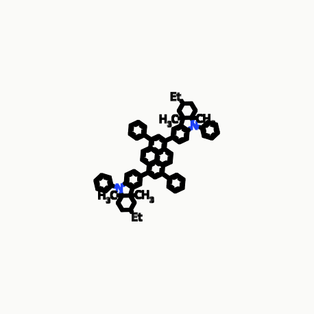 CCC1CCC2(C)N(c3ccccc3)c3ccc(-c4cc(-c5ccccc5)c5ccc6c(-c7ccc8c(c7)C7(C)CC(CC)CCC7(C)N8c7ccccc7)cc(-c7ccccc7)c7ccc4c5c76)cc3C2(C)C1